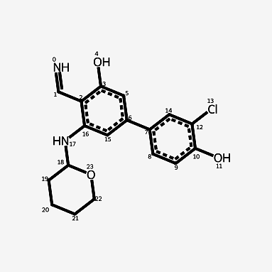 N=Cc1c(O)cc(-c2ccc(O)c(Cl)c2)cc1NC1CCCCO1